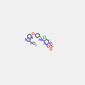 Cc1nc(NCc2ccc(Oc3ccc4ncc([N+](=O)[O-])n4n3)cc2)c(Cl)c(C)[n+]1OS(C)(=O)=O